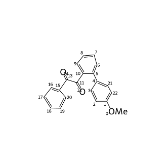 COc1ccc(-c2ccccc2C(=O)C(=O)c2ccccc2)cc1